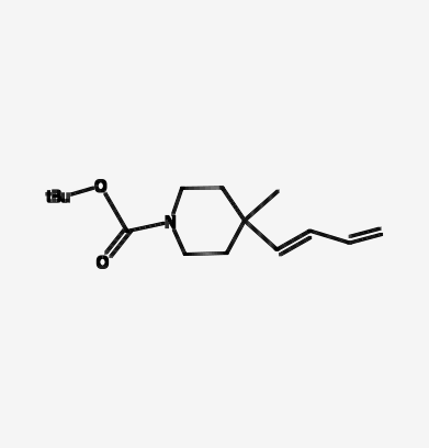 C=C/C=C/C1(C)CCN(C(=O)OC(C)(C)C)CC1